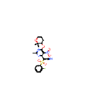 Cc1nc(OC2CCCOC2(C)C)c([N+](=O)[O-])c(C(C#N)S(=O)(=O)c2ccccc2F)n1